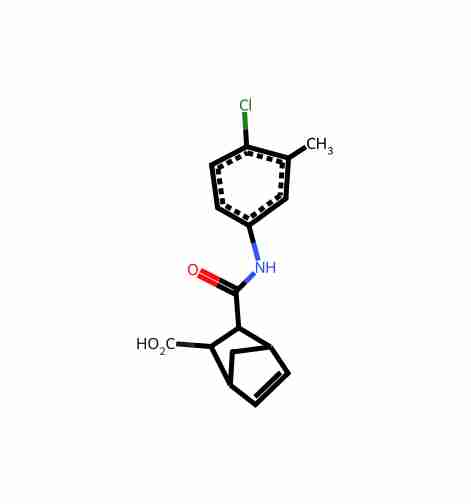 Cc1cc(NC(=O)C2C3C=CC(C3)C2C(=O)O)ccc1Cl